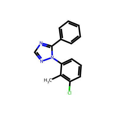 Cc1c(Cl)cccc1-n1ncnc1-c1ccccc1